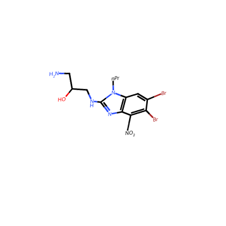 CCCn1c(NCC(O)CN)nc2c([N+](=O)[O-])c(Br)c(Br)cc21